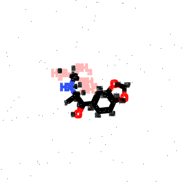 BC(B)(B)N[C@@](B)(C)C(=O)c1ccc2c(c1)OCO2